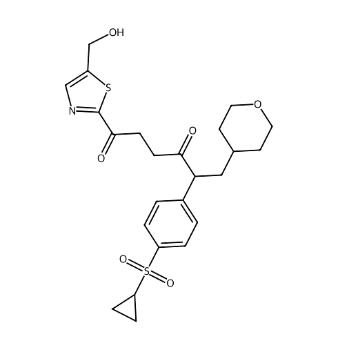 O=C(CCC(=O)C(CC1CCOCC1)c1ccc(S(=O)(=O)C2CC2)cc1)c1ncc(CO)s1